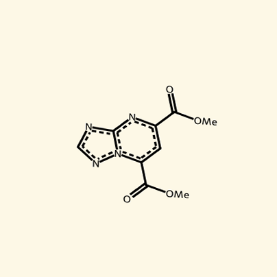 COC(=O)c1cc(C(=O)OC)n2ncnc2n1